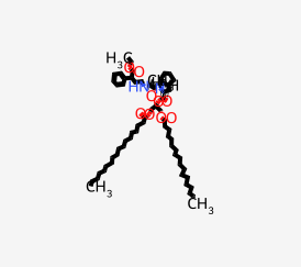 CCCCCCCCCCCCCCCCCC(=O)OCC(COC(=O)CCCCCCCCCCCCCCCCC)OC(=O)[C@@H]1C[C@H]2CCCC[C@@H]2N1C(=O)[C@H](C)NCCC(C(=O)OCC)c1ccccc1